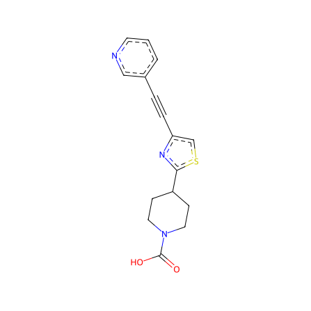 O=C(O)N1CCC(c2nc(C#Cc3cccnc3)cs2)CC1